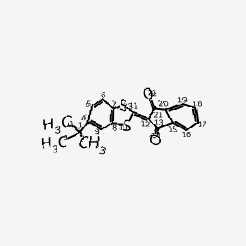 CC(C)(C)c1ccc2c(c1)SC(=C1C(=O)c3ccccc3C1=O)S2